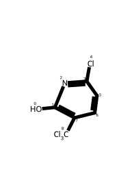 Oc1nc(Cl)ccc1C(Cl)(Cl)Cl